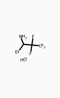 CCC(N)C(F)(F)C(F)(F)F.Cl